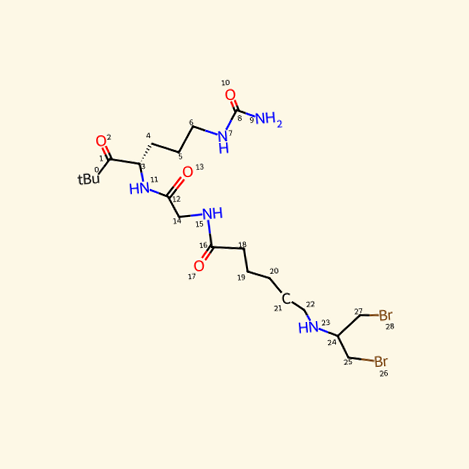 CC(C)(C)C(=O)[C@H](CCCNC(N)=O)NC(=O)CNC(=O)CCCCCNC(CBr)CBr